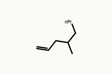 C=CC[C](C)CCCC